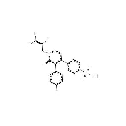 NS(=O)(=O)c1ccc(-c2cnn(CC(F)=C(F)F)c(=O)c2-c2ccc(F)cc2)cc1